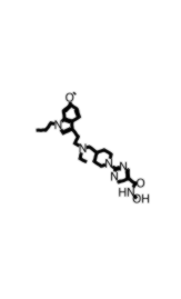 CCCn1cc(CCN(CC)CC2CCN(c3ncc(C(=O)NO)cn3)CC2)c2ccc(OC)cc21